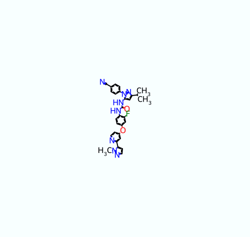 CC(C)c1cc(NC(=O)Nc2ccc(Oc3ccnc(-c4ccnn4C)c3)cc2F)n(-c2ccc(C#N)cc2)n1